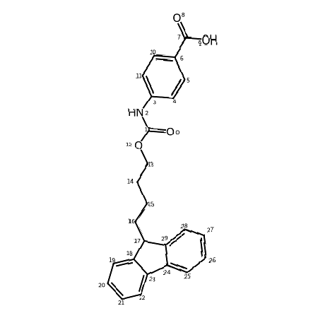 O=C(Nc1ccc(C(=O)O)cc1)OCCCCC1c2ccccc2-c2ccccc21